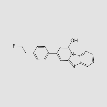 Oc1cc(-c2ccc(CCF)cc2)cc2nc3ccccc3n12